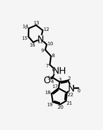 Cn1cc(C(=O)NCCCCN2CC[CH]CC2)c2ccccc21